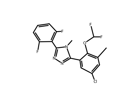 Cc1cc(Cl)cc(-c2nnc(-c3c(F)cccc3F)n2C)c1OC(F)F